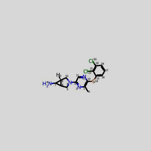 Cc1nc(N2CC3C(N)[C@@H]3C2)cnc1Sc1cccc(Cl)c1Cl